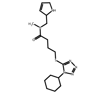 CN(CC1C=CCN1)C(=O)CCCSc1nnnn1C1CCCCC1